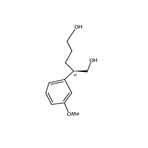 COc1cccc([C@H](CO)CCCO)c1